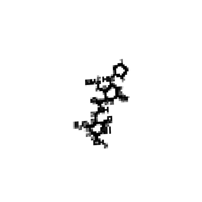 CNCc1c(NC2CCCC2)cc(Br)cc1C(=O)NCc1c(C)cc(C)[nH]c1=O